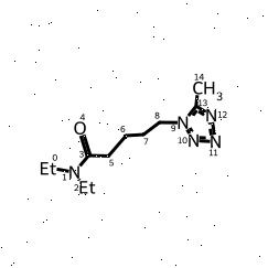 CCN(CC)C(=O)CCCCn1nnnc1C